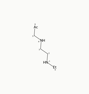 CCNCCNCC(C)=O